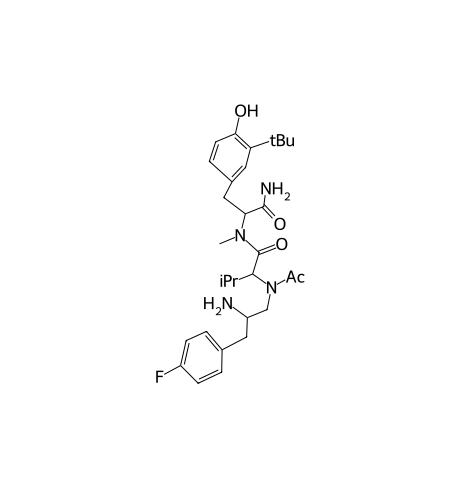 CC(=O)N(CC(N)Cc1ccc(F)cc1)C(C(=O)N(C)C(Cc1ccc(O)c(C(C)(C)C)c1)C(N)=O)C(C)C